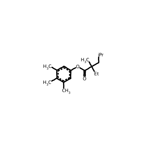 CCC(C)(CC(C)C)C(=O)Oc1cc(C)c(C)c(C)c1